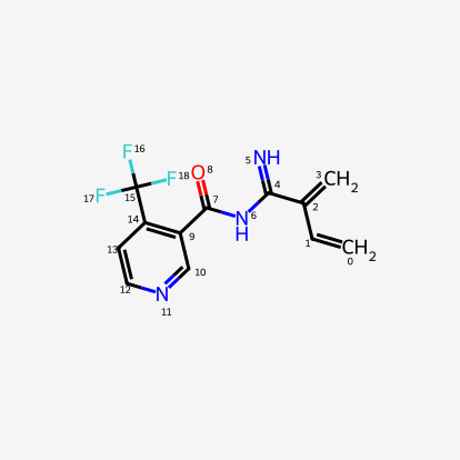 C=CC(=C)C(=N)NC(=O)c1cnccc1C(F)(F)F